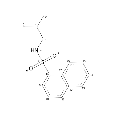 CC(C)CNS(=O)(=O)c1cccc2ccccc12